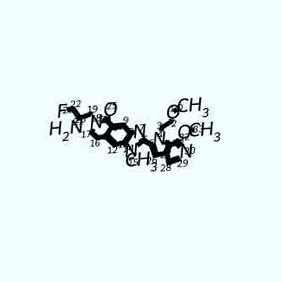 COCCn1c(-c2nc3cc4c(cc3n2C)CCN(C[C@H](N)CF)C4=O)cc2ccnc(OC)c21